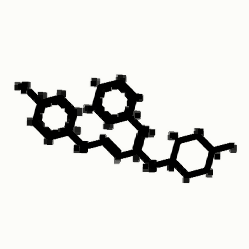 CC1CCC(SC(C=CSc2ccc(F)cc2)=Nc2ccccc2)CC1